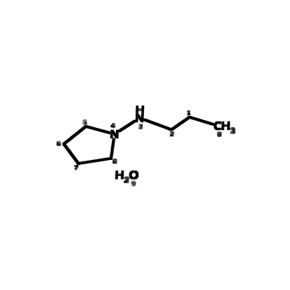 CCCNN1CCCC1.O